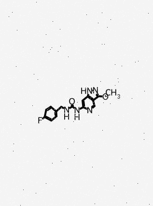 COc1n[nH]c2cc(NC(=O)NCc3ccc(F)cc3)ncc12